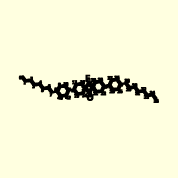 CCCCCCCC[C@H]1CC[C@H](C2CCC3(CC2)C(=O)C2(CCC([C@H]4CC[C@H](CCCCCCCC)CC4)CC2)C3F)CC1